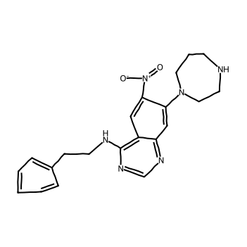 O=[N+]([O-])c1cc2c(NCCc3ccccc3)ncnc2cc1N1CCCNCC1